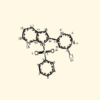 O=S(=O)(c1ccccc1)n1c(-c2cc(Cl)ncn2)cc2cccnc21